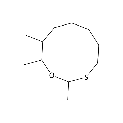 CC1OC(C)C(C)CCCCCS1